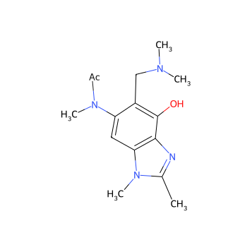 CC(=O)N(C)c1cc2c(nc(C)n2C)c(O)c1CN(C)C